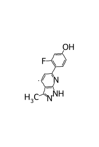 Cc1n[nH]c2nc(-c3ccc(O)cc3F)c[c]c12